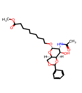 COC(=O)CCCCCCCCO[C@H]1O[C@@H]2COC(c3ccccc3)O[C@@H]2[C@H](O)[C@H]1NC(C)=O